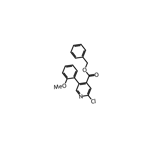 COc1ccccc1-c1cnc(Cl)cc1C(=O)OCc1ccccc1